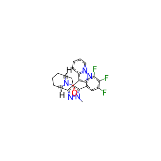 Cn1nc2c(c1-c1cc(F)c(F)c(F)c1)C[C@H]1CCC[C@@H]2N1C(=O)c1cnn2ccccc12